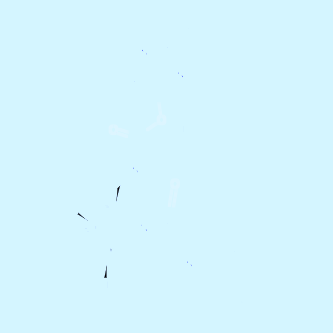 Cc1cccc(-c2sc(C)nc2C(=O)N2C[C@@H]3C[C@@H]3[C@H]2CNC(=O)Oc2c(Cl)nc3sccn23)c1